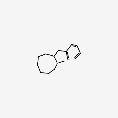 CN1CCCCCCC1Cc1ccccc1